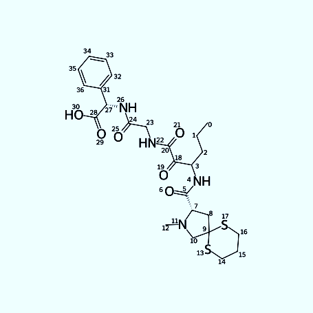 CCCC(NC(=O)[C@@H]1CC2(CN1C)SCCCS2)C(=O)C(=O)NCC(=O)N[C@H](C(=O)O)c1ccccc1